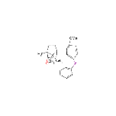 CC12CCC(CC1=O)C2(C)C.COc1ccc([I+]c2ccccc2)cc1